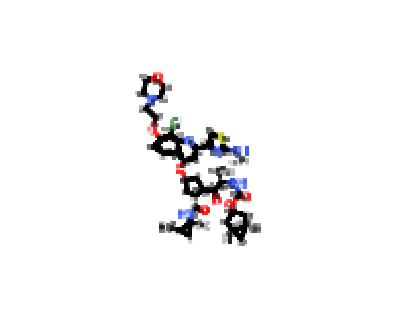 CCC1C[C@]1(NC(=O)[C@@H]1C[C@@H](Oc2cc(-c3csc(NC(C)C)n3)nc3c(Cl)c(OCCN4CCOCC4)ccc23)CC1C(=O)[C@@H](NC(=O)O[C@@H]1C[C@@H]2C[C@@H]2C1)C(C)(C)C)C(C)=O